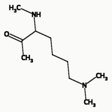 CNC(CCCCN(C)C)C(C)=O